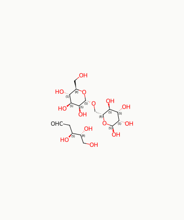 O=CC[C@H](O)[C@H](O)CO.OC[C@H]1O[C@H](OC[C@H]2O[C@H](O)[C@@H](O)[C@@H](O)[C@@H]2O)[C@@H](O)[C@@H](O)[C@@H]1O